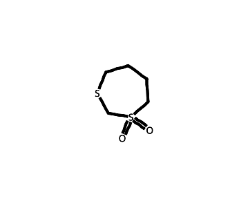 O=S1(=O)CCCCSC1